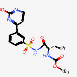 CC(C)C[C@H](NC(=O)OC(C)(C)C)C(=O)NS(=O)(=O)c1cccc(-c2ccnc(O)n2)c1